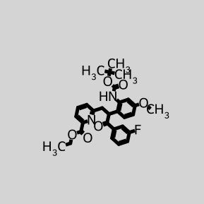 CCOC(=O)c1cccc(CC(C(=O)c2cccc(F)c2)c2ccc(OC)cc2NC(=O)OC(C)(C)C)n1